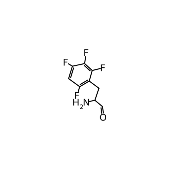 NC(C=O)Cc1c(F)cc(F)c(F)c1F